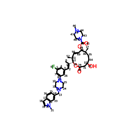 C/C(=C\c1cc(F)cc(N2CCN(Cc3ccc4ccn(C)c4c3)CC2)c1)[C@H]1OC(=O)C[C@H](O)CC[C@H](C)[C@@H](OC(=O)N2CCN(C)CC2)/C=C/[C@@H]1C